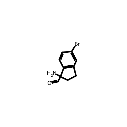 NC1(C=O)CCc2cc(Br)ccc21